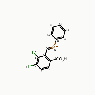 O=C(O)c1ccc(F)c(F)c1C=[SH]c1ccccc1